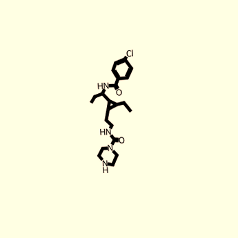 CCC(NC(=O)c1ccc(Cl)cc1)C1C(CC)C1CCNC(=O)N1CCNCC1